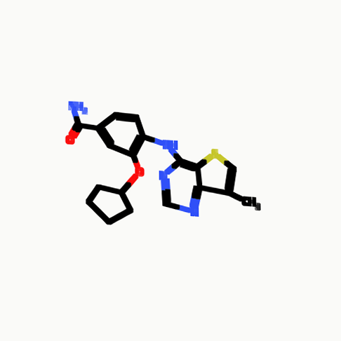 Cc1csc2c(Nc3ccc(C(N)=O)cc3OC3CCCC3)ncnc12